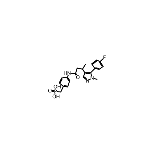 CC(CC(=O)Nc1ccc(CP(=O)(O)O)cc1)c1cnn(C)c1-c1ccc(F)cc1